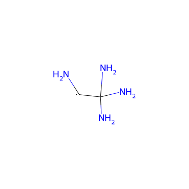 N[CH]C(N)(N)N